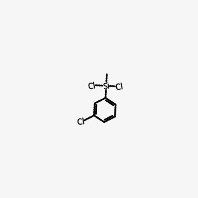 C[Si](Cl)(Cl)c1cccc(Cl)c1